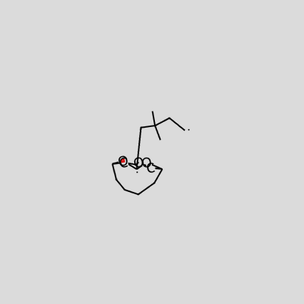 [CH2]CC(C)(C)C[C]1OC2CCCCC(COCC2)O1